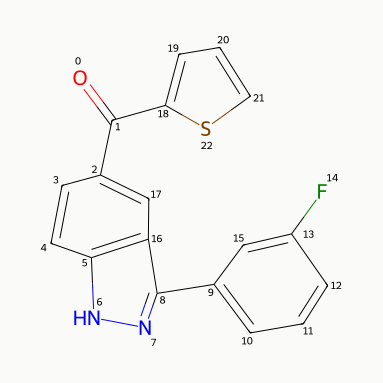 O=C(c1ccc2[nH]nc(-c3cccc(F)c3)c2c1)c1cccs1